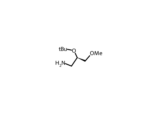 COC[C@@H](CN)OC(C)(C)C